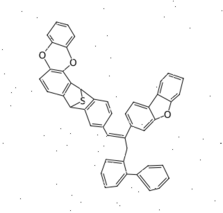 C(=C(\Cc1ccccc1-c1ccccc1)c1ccc2c(c1)oc1ccccc12)/c1ccc2c(c1)C1SC2c2c1ccc1c2Oc2ccccc2O1